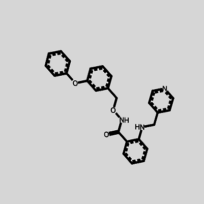 O=C(NOCc1cccc(Oc2ccccc2)c1)c1ccccc1NCc1ccncc1